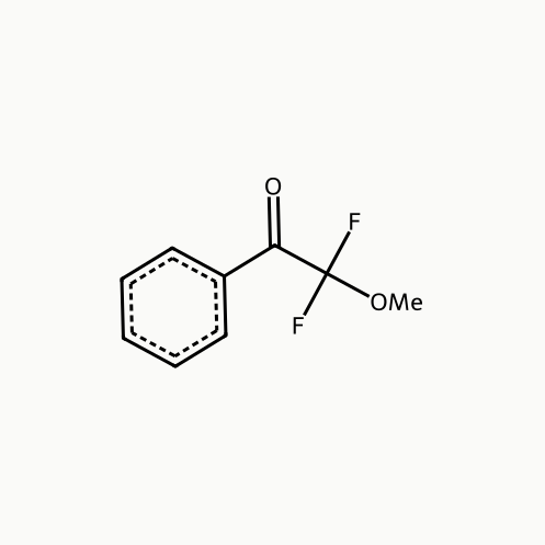 COC(F)(F)C(=O)c1ccccc1